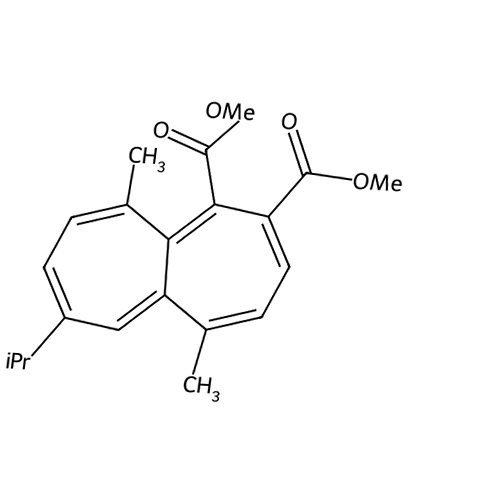 COC(=O)C1=CC=C(C)C2=CC(C(C)C)=CC=C(C)C2=C1C(=O)OC